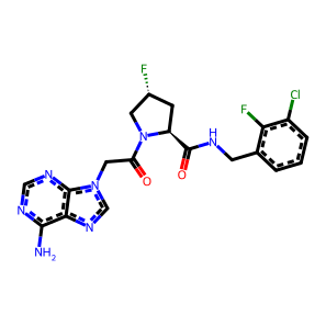 Nc1ncnc2c1ncn2CC(=O)N1C[C@H](F)C[C@H]1C(=O)NCc1cccc(Cl)c1F